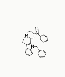 c1ccc(Cn2c3c(c4ccccc42)CCN2CCC(Nc4ccccc4)CC32)cc1